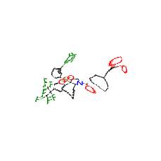 COC(=O)[C@H]1CC[C@H](C(=O)N2CCC3(S(=O)(=O)c4cccc(Br)c4)c4ccc(C(F)(C(F)(F)F)C(F)(F)F)cc4CCC23)CC1